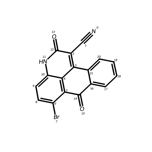 N#Cc1c2c3c(c(Br)ccc3[nH]c1=O)C(=O)c1ccccc1-2